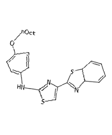 CCCCCCCCOc1ccc(Nc2nc(C3=NC4C=CC=CC4S3)cs2)cc1